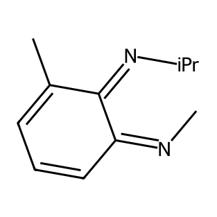 C/N=C1/C=CC=C(C)/C1=N/C(C)C